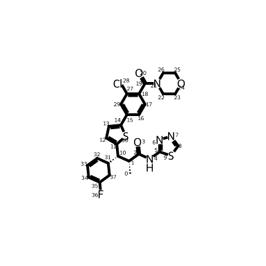 C[C@@H](C(=O)Nc1nncs1)[C@@H](c1ccc(-c2ccc(C(=O)N3CCOCC3)c(Cl)c2)s1)C1C=CC=C(F)C1